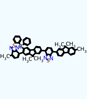 Cc1ccc2c(c1)C(C)(C)c1cc(-c3ccc(-c4ccc5c(c4)C(C)(C)c4cc6c(cc4-5)[B-](c4ccccc4)(c4ccccc4)[n+]4snc5c(C)ccc-6c54)c4nsnc34)ccc1-2